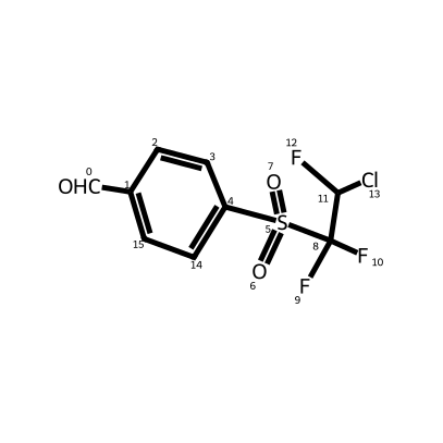 O=Cc1ccc(S(=O)(=O)C(F)(F)C(F)Cl)cc1